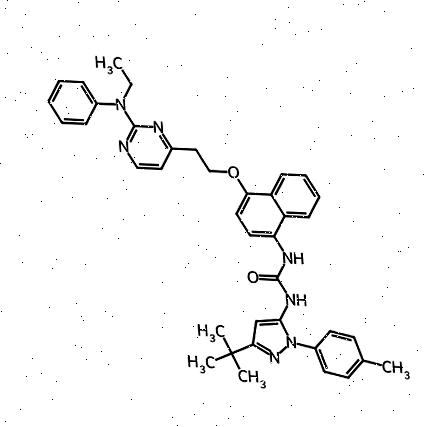 CCN(c1ccccc1)c1nccc(CCOc2ccc(NC(=O)Nc3cc(C(C)(C)C)nn3-c3ccc(C)cc3)c3ccccc23)n1